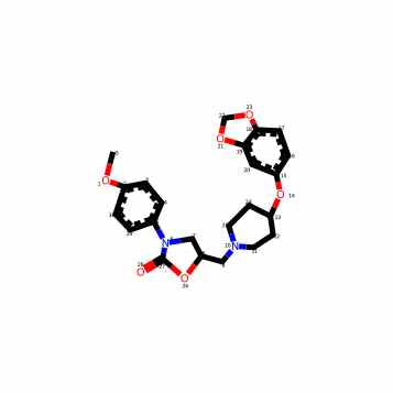 COc1ccc(N2CC(CN3CCC(Oc4ccc5c(c4)OCO5)CC3)OC2=O)cc1